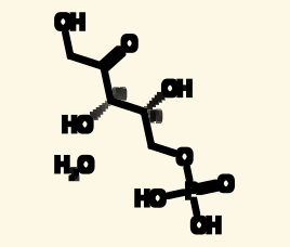 O.O=C(CO)[C@@H](O)[C@H](O)COP(=O)(O)O